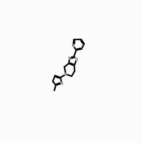 CC1=NC(N2CCc3oc(-c4ccccn4)nc3C2)=CC1